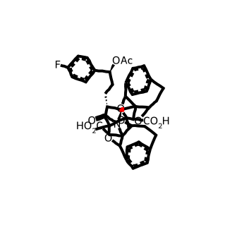 CC(=O)O[C@@H](CC[C@H]1C(=O)N(C2(CC(=O)O)C3CCc4ccc(cc4)C2OC(C)(C)O3)[C@@H]1C1(CC(=O)O)C2CCc3ccc(cc3)C1OC(C)(C)O2)c1ccc(F)cc1